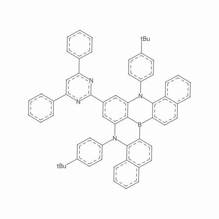 CC(C)(C)c1ccc(N2c3cc(-c4nc(-c5ccccc5)cc(-c5ccccc5)n4)cc4c3B(c3ccc5ccccc5c32)c2ccc3ccccc3c2N4c2ccc(C(C)(C)C)cc2)cc1